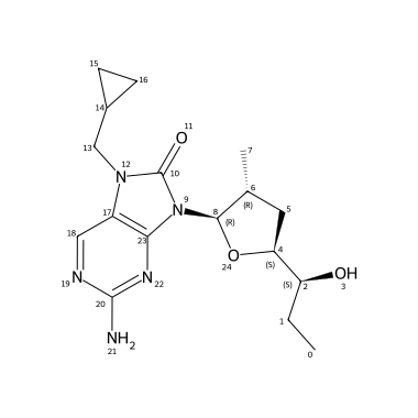 CC[C@H](O)[C@@H]1C[C@@H](C)[C@H](n2c(=O)n(CC3CC3)c3cnc(N)nc32)O1